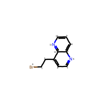 BrCCc1ccnc2cccnc12